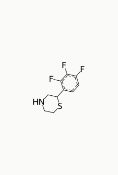 Fc1ccc(C2CNCCS2)c(F)c1F